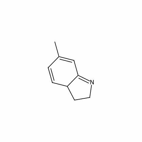 CC1=CC2=NCCC2C=C1